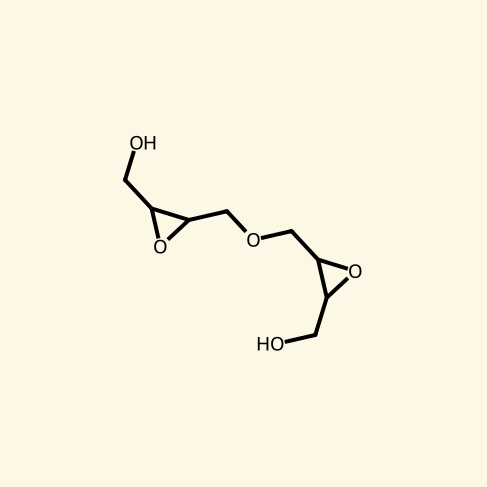 OCC1OC1COCC1OC1CO